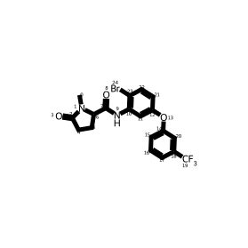 CN1C(=O)CCC1C(=O)Nc1cc(Oc2cccc(C(F)(F)F)c2)ccc1Br